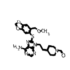 COCc1cc2c(cc1Sc1nc3c(N)ncnc3n1CCC1CCN(C=O)CC1)OCO2